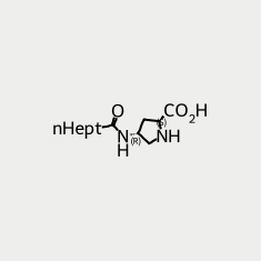 CCCCCCCC(=O)N[C@H]1CN[C@H](C(=O)O)C1